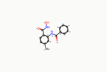 CC(C)(C)c1ccc(C(=O)NO)c(NC(=O)c2ccccc2)c1